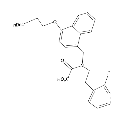 CCCCCCCCCCCCOc1ccc(CN(CCc2ccccc2F)C(=O)C(=O)O)c2ccccc12